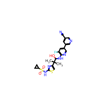 CC(C)(c1csc(NS(=O)(=O)C2CC2)n1)C(O)Nc1ncc(-c2cncc(C#N)c2)cc1F